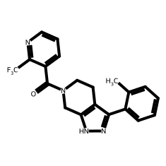 Cc1ccccc1-c1n[nH]c2c1CCN(C(=O)c1cccnc1C(F)(F)F)C2